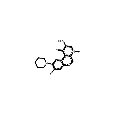 Cn1cc(C(=O)O)c(=O)c2c3cc(N4CCCCC4)c(F)cc3ncc21